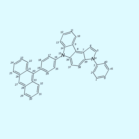 c1ccc(-n2ccc3c4c5ccccc5n(-c5ccc(-c6c7ccccc7cc7ccccc67)cc5)c4ccc32)cc1